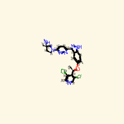 C[C@@H](Oc1ccc2[nH]nc(-c3ccc(N4CC[C@](C)(N)C4)nn3)c2c1)c1c(Cl)cncc1Cl